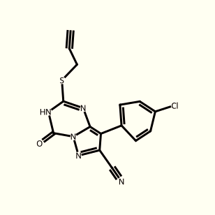 C#CCSc1nc2c(-c3ccc(Cl)cc3)c(C#N)nn2c(=O)[nH]1